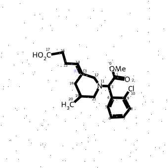 COC(=O)C(c1ccccc1Cl)N1C/C(=C/CCC(=O)O)CC(C)C1